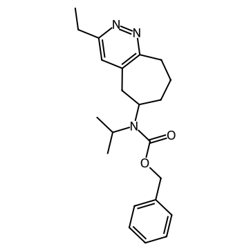 CCc1cc2c(nn1)CCCC(N(C(=O)OCc1ccccc1)C(C)C)C2